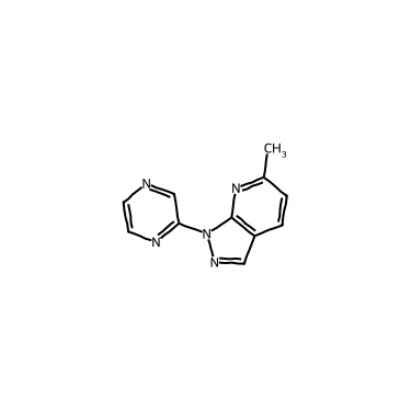 Cc1ccc2cnn(-c3cnccn3)c2n1